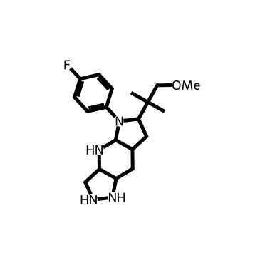 COCC(C)(C)C1CC2CC3NNCC3NC2N1c1ccc(F)cc1